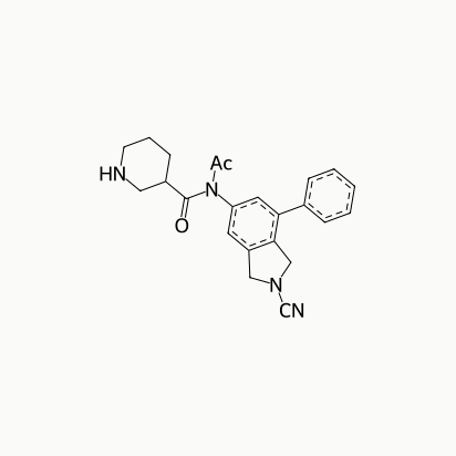 CC(=O)N(C(=O)C1CCCNC1)c1cc2c(c(-c3ccccc3)c1)CN(C#N)C2